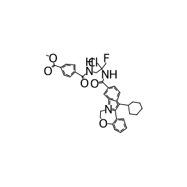 COC(=O)c1ccc(C(=O)NCC(Cl)(CF)NC(=O)c2ccc3c(C4CCCCC4)c4n(c3c2)CCOc2ccccc2-4)cc1